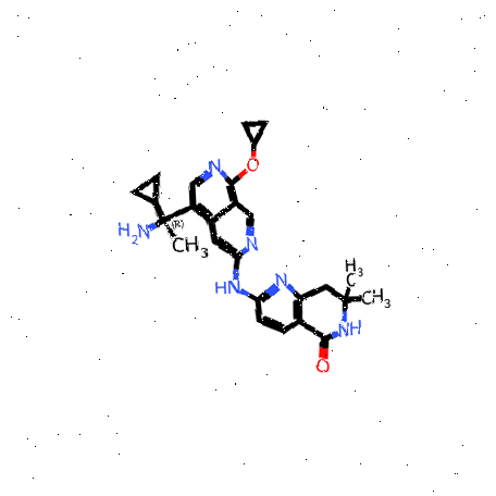 CC1(C)Cc2nc(Nc3cc4c([C@](C)(N)C5CC5)cnc(OC5CC5)c4cn3)ccc2C(=O)N1